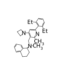 CCc1cccc(CC)c1-c1cc(N2CCC2)c(CN(C)[C@H]2CCCc3ccccc32)c(C)n1